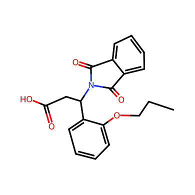 CCCOc1ccccc1C(CC(=O)O)N1C(=O)c2ccccc2C1=O